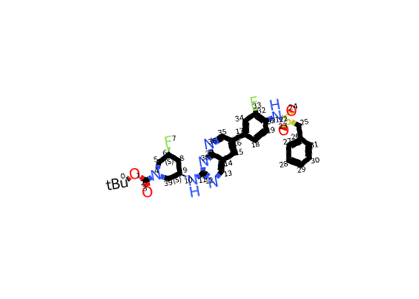 CC(C)(C)OC(=O)N1C[C@@H](F)C[C@H](Nc2ncc3cc(-c4ccc(NS(=O)(=O)Cc5ccccc5)c(F)c4)cnc3n2)C1